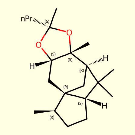 CCC[C@@]1(C)O[C@H]2C[C@@]34C[C@H](C(C)(C)[C@@H]3CC[C@H]4C)[C@@]2(C)O1